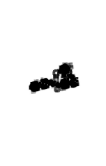 O=C(NCCN1CCN(c2ccccc2)CC1)c1ccc2c(c1)N(Cc1cc(F)ccc1Cl)C(=O)Cc1sccc1-2